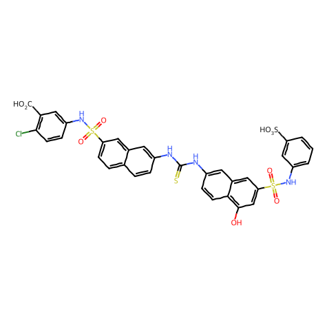 O=C(O)c1cc(NS(=O)(=O)c2ccc3ccc(NC(=S)Nc4ccc5c(O)cc(S(=O)(=O)Nc6cccc(S(=O)(=O)O)c6)cc5c4)cc3c2)ccc1Cl